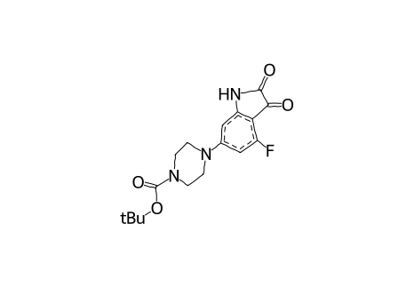 CC(C)(C)OC(=O)N1CCN(c2cc(F)c3c(c2)NC(=O)C3=O)CC1